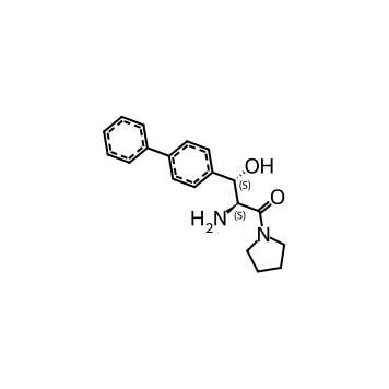 N[C@H](C(=O)N1CCCC1)[C@@H](O)c1ccc(-c2ccccc2)cc1